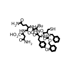 CCC(C)C(NC(=O)C(Cc1ccc(O)cc1)NC(=O)C(CS)N(Cc1ccccc1)C(=O)OCc1ccccc1)C(=O)NC(CCC(N)=O)C(=O)NC(CC(N)=O)C(=O)O